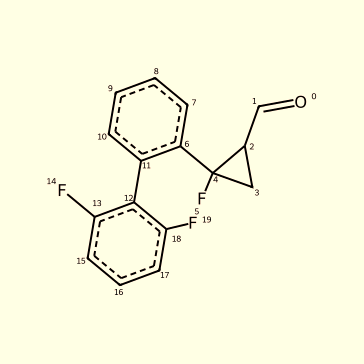 O=CC1CC1(F)c1ccccc1-c1c(F)cccc1F